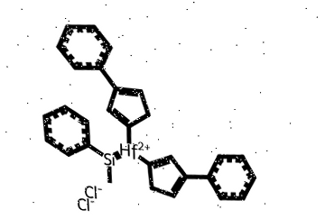 C[Si](c1ccccc1)=[Hf+2]([C]1=CC(c2ccccc2)=CC1)[C]1=CC(c2ccccc2)=CC1.[Cl-].[Cl-]